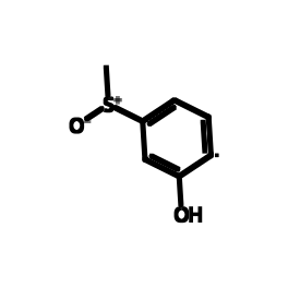 C[S+]([O-])c1cc[c]c(O)c1